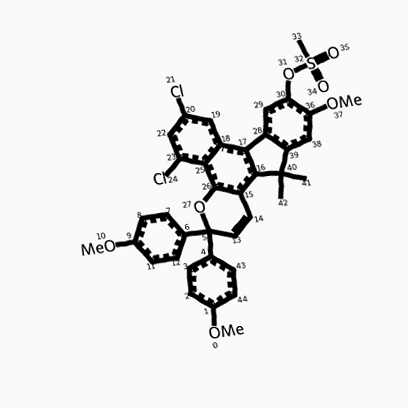 COc1ccc(C2(c3ccc(OC)cc3)C=Cc3c4c(c5cc(Cl)cc(Cl)c5c3O2)-c2cc(OS(C)(=O)=O)c(OC)cc2C4(C)C)cc1